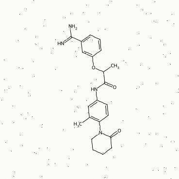 Cc1cc(NC(=O)C(C)Oc2cccc(C(=N)N)c2)ccc1N1CCCCC1=O